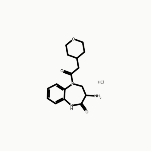 Cl.NC1CN(C(=O)CC2CCOCC2)c2ccccc2NC1=O